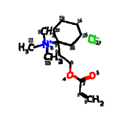 C=CC(=O)OCCC1([N+](C)(C)C)CCCCC1.[Cl-]